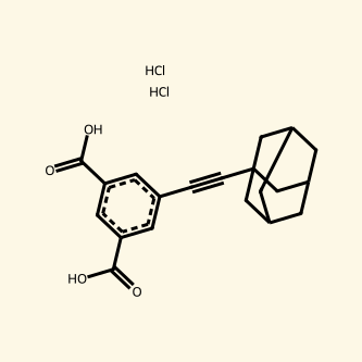 Cl.Cl.O=C(O)c1cc(C#CC23CC4CC(CC(C4)C2)C3)cc(C(=O)O)c1